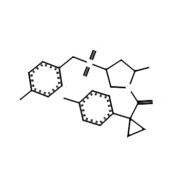 O=C(O)C1CC(S(=O)(=O)Cc2ccc(Br)cc2)CN1C(=O)C1(c2ccc(Cl)cc2)CC1